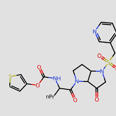 CCCC(NC(=O)Oc1ccsc1)C(=O)N1CCC2C1C(=O)CN2S(=O)(=O)Cc1cccnc1